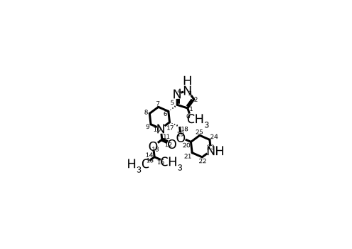 Cc1c[nH]nc1[C@H]1CCCN(C(=O)OC(C)C)[C@H]1COC1CCNCC1